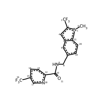 Cn1c(C(F)(F)F)cc2cc(CNC(=O)c3ccc(C(F)(F)F)cn3)ccc21